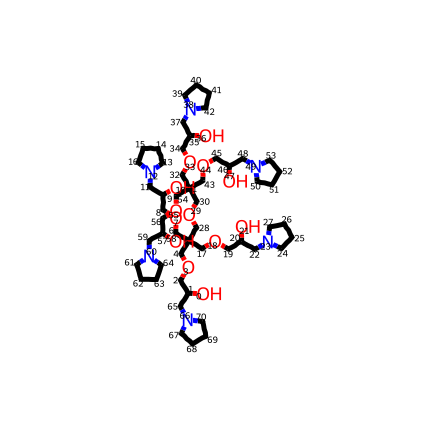 OC(COCC(COCC(O)CN1CCCC1)(COCC(O)CN1CCCC1)COCC(COCC(O)CN1CCCC1)(COCC(O)CN1CCCC1)COCC(O)CN1CCCC1)CN1CCCC1